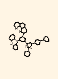 c1ccc(-c2ccc(-c3cc(-c4cc(-c5ccc6ccc7cccnc7c6n5)cc(N5c6ccccc6Oc6ccccc65)c4)nc(-c4ccccc4)n3)cc2)cc1